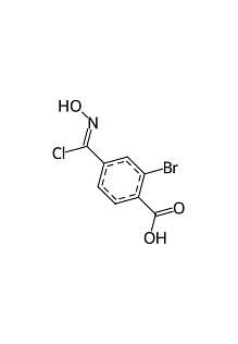 O=C(O)c1ccc(C(Cl)=NO)cc1Br